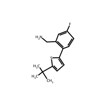 CC(C)(C)c1ccc(-c2ccc(F)cc2CN)s1